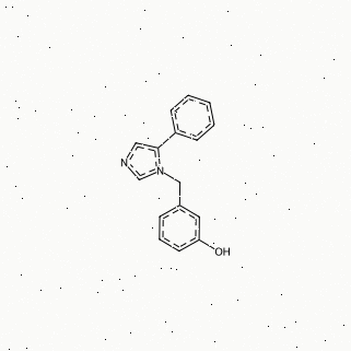 Oc1cccc(Cn2cncc2-c2ccccc2)c1